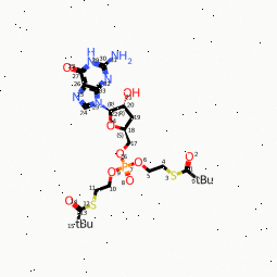 CC(C)(C)C(=O)SCCOP(=O)(OCCSC(=O)C(C)(C)C)OC[C@@H]1C[C@@H](O)[C@H](n2cnc3c(=O)[nH]c(N)nc32)O1